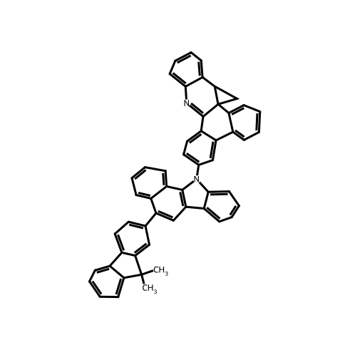 CC1(C)c2ccccc2-c2ccc(-c3cc4c5ccccc5n(-c5ccc6c(c5)-c5ccccc5C57CC5c5ccccc5N=C67)c4c4ccccc34)cc21